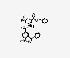 O=C(NC1CN(C(=O)OCc2ccccc2)CC(F)(F)C1)c1ccc2[nH]nc(-c3ccncc3)c2c1